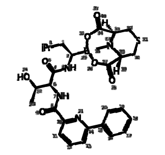 CC(C)C[C@H](NC(=O)[C@@H](NC(=O)c1cccc(-c2ccccc2)n1)[C@@H](C)O)B1OC(=O)[C@H]2CSC[C@H](C(=O)O1)N2C